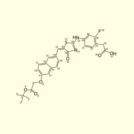 CC(C)(C)OC(=O)COc1ccc2cc(C=C3SC(Nc4ccc(CC(=O)O)c(F)c4)=NC3=O)ccc2c1